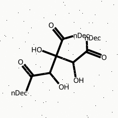 CCCCCCCCCCC(=O)C(O)C(O)(C(=O)CCCCCCCCCC)C(O)C(=O)CCCCCCCCCC